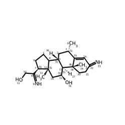 C[C@H]1C[C@H]2C3CC[C@H](C(=N)CO)[C@@]3(C)C[C@H](O)[C@@H]2[C@@]2(C)CCC(=N)C=C12